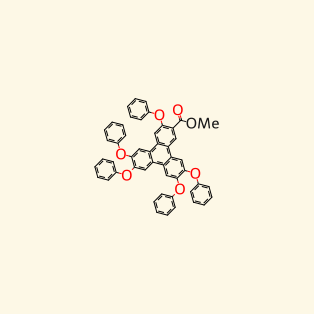 COC(=O)c1cc2c3cc(Oc4ccccc4)c(Oc4ccccc4)cc3c3cc(Oc4ccccc4)c(Oc4ccccc4)cc3c2cc1Oc1ccccc1